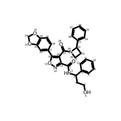 O=C(NC(CCO)c1ccccc1)c1noc(-c2ccc3c(c2)OCO3)c1C(=O)N1CCC1c1ccccc1